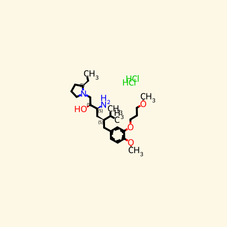 CC[C@@H]1CCCN1C[C@H](O)[C@@H](N)C[C@H](Cc1ccc(OC)c(OCCCOC)c1)C(C)C.Cl.Cl